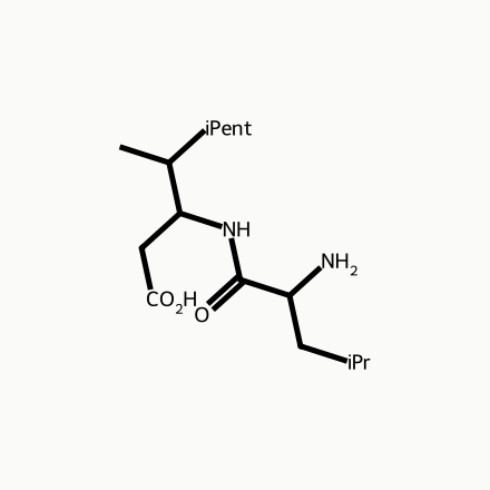 CCCC(C)C(C)C(CC(=O)O)NC(=O)C(N)CC(C)C